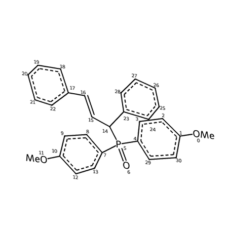 COc1ccc(P(=O)(c2ccc(OC)cc2)C(C=Cc2ccccc2)c2ccccc2)cc1